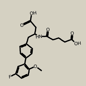 COc1ccc(F)cc1-c1ccc(CC(CC(=O)O)NC(=O)CCCC(=O)O)cc1